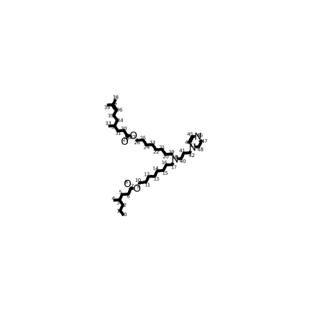 CCCC(C)CCC(=O)OCCCCCCCCN(CCCCCCCCOC(=O)CCC(C)CCC=C(C)C)CCCN1C=CN=CC1